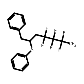 FC(F)(F)C(F)(F)C(F)(F)C(F)(F)CC(Cc1ccccc1)Sc1ccccc1